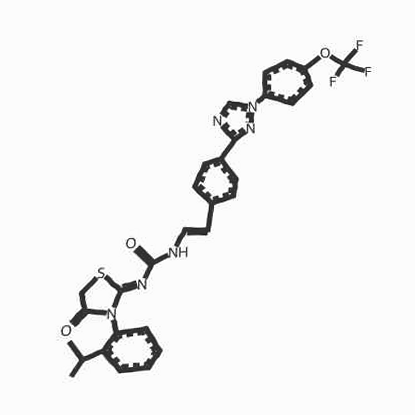 CC(C)c1ccccc1N1C(=O)CSC1=NC(=O)NC=Cc1ccc(-c2ncn(-c3ccc(OC(F)(F)F)cc3)n2)cc1